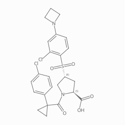 O=C(O)[C@@H]1C[C@@H](S(=O)(=O)c2ccc(N3CCC3)cc2Cl)CN1C(=O)C1(c2ccc(Cl)cc2)CC1